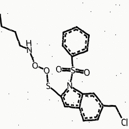 CCCCNOOSc1cc2ccc(CCl)cc2n1S(=O)(=O)c1ccccc1